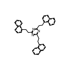 c1ccc2c(CCc3nc(CCc4cccc5ccccc45)nc(CCc4cccc5ccccc45)n3)cccc2c1